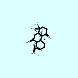 C=C1C[C@@]23C[C@H]1CC[C@@H]2[C@@]1(C)C(=O)CCC(C)(C)[C@@H]1CC3=O